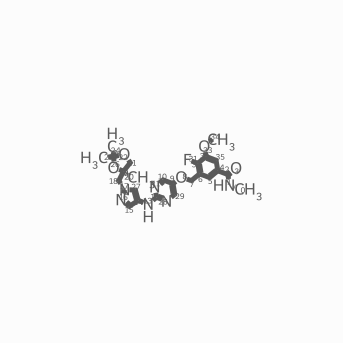 CNC(=O)c1cc(COc2cnc(Nc3cnn(C[C@]4(C)COC(C)(C)O4)c3)nc2)c(F)c(OC)c1